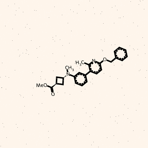 COC(=O)[C@H]1C[C@H](N(C)c2cccc(-c3ccc(OCc4ccccc4)nc3C)c2)C1